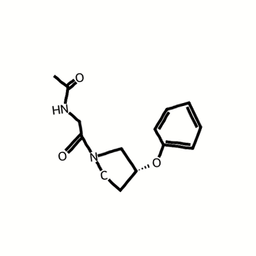 CC(=O)NCC(=O)N1CC[C@@H](Oc2ccccc2)C1